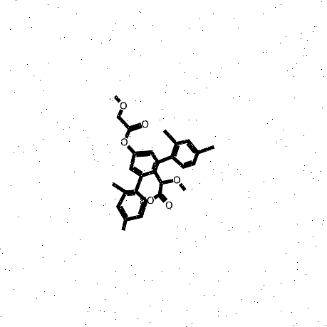 COCC(=O)Oc1cc(-c2ccc(C)cc2C)c(C(OC)C(=O)O)c(-c2ccc(C)cc2C)c1